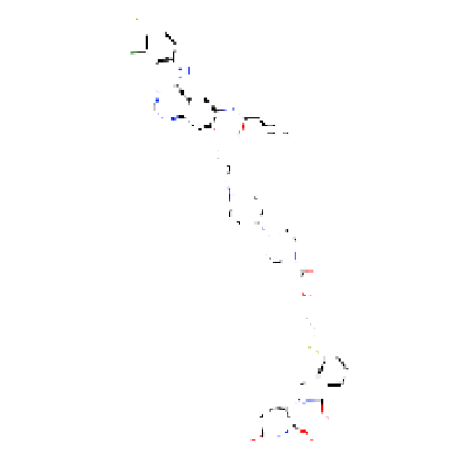 C=CC(=O)Nc1cc2c(Nc3ccc(F)c(Cl)c3)ncnc2cc1OCCCN1CCC(N2CCN(C(=O)COCCSc3cccc4c3CN(C3CCC(=O)NC3=O)C4=O)CC2)CC1